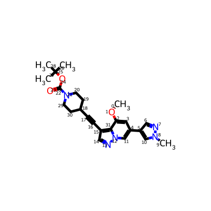 COc1cc(-c2cnn(C)c2)cn2ncc(C#CC3CCN(C(=O)OC(C)(C)C)CC3)c12